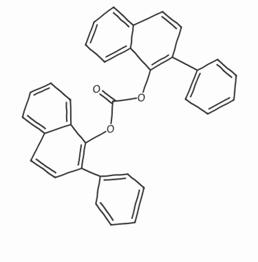 O=C(Oc1c(-c2ccccc2)ccc2ccccc12)Oc1c(-c2ccccc2)ccc2ccccc12